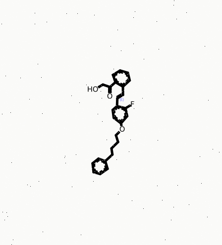 O=C(CO)c1ccccc1/C=C/c1ccc(OCCCCc2ccccc2)cc1F